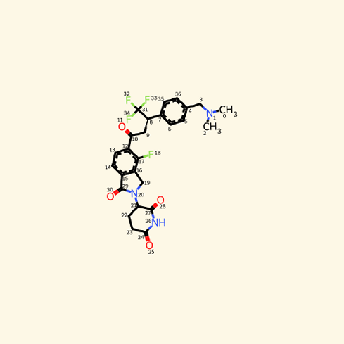 CN(C)Cc1ccc([C@@H](CC(=O)c2ccc3c(c2F)CN(C2CCC(=O)NC2=O)C3=O)C(F)(F)F)cc1